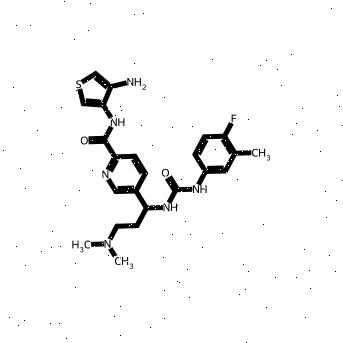 Cc1cc(NC(=O)NC(CCN(C)C)c2ccc(C(=O)Nc3cscc3N)nc2)ccc1F